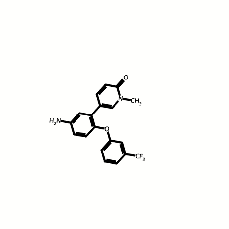 Cn1cc(-c2cc(N)ccc2Oc2cccc(C(F)(F)F)c2)ccc1=O